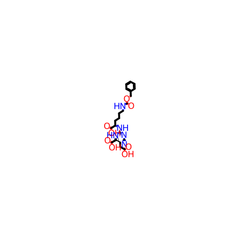 N#C/N=C(/NC(CCCCNC(=O)OCc1ccccc1)C(=O)O)N[C@@H](CCC(=O)O)C(=O)O